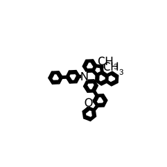 CC1(C)c2cccc(N(c3ccc(-c4ccccc4)cc3)c3ccc(-c4cccc5c4oc4ccccc45)cc3)c2-c2ccc3ccccc3c21